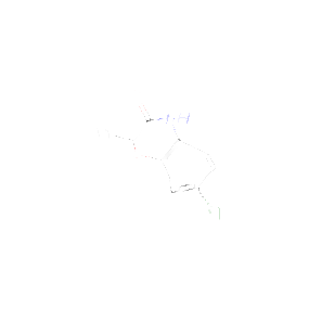 CC(C)C1Oc2cc(Cl)ccc2NC1=O